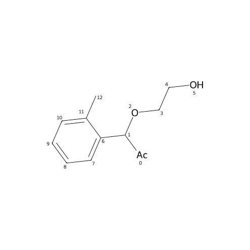 CC(=O)C(OCCO)c1ccccc1C